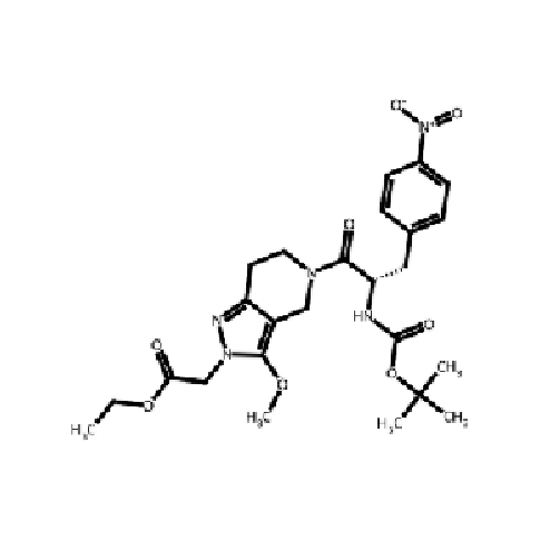 CCOC(=O)Cn1nc2c(c1OC)CN(C(=O)[C@H](Cc1ccc([N+](=O)[O-])cc1)NC(=O)OC(C)(C)C)CC2